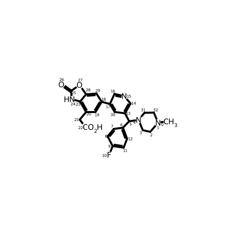 CN1CCN(C(c2ccc(F)cc2)c2cncc(-c3cc(CC(=O)O)c4[nH]c(=O)oc4c3)c2)CC1